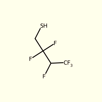 FC(C(F)(F)F)C(F)(F)CS